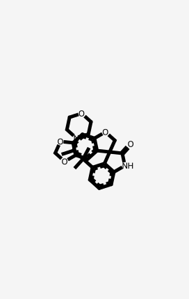 CC(N1CCOCC1)C(C)(C)c1cccc2c1C1(COc3cc4c(cc31)OCO4)C(=O)N2